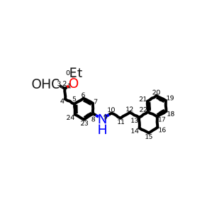 CCOC(C=O)Cc1ccc(NCCCC2CCCc3ccccc32)cc1